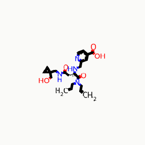 C=CCN(CC=C)C(=O)[C@H](CC(=O)NCC1(CO)CC1)NCc1cc(C(=O)O)ccn1